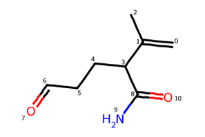 C=C(C)C(CCC=O)C(N)=O